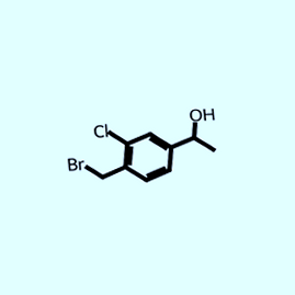 CC(O)c1ccc(CBr)c(Cl)c1